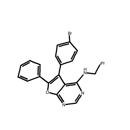 CC(C)CNc1ncnc2oc(-c3ccccc3)c(-c3ccc(Br)cc3)c12